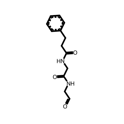 O=CCNC(=O)CNC(=O)CCc1ccccc1